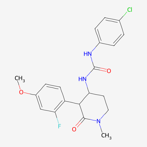 COc1ccc(C2C(=O)N(C)CCC2NC(=O)Nc2ccc(Cl)cc2)c(F)c1